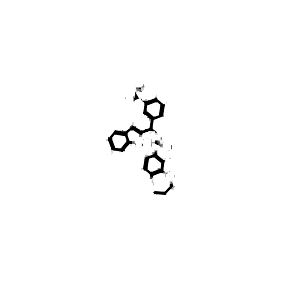 O=[N+]([O-])c1cccc(C(NS(=O)(=O)c2ccc3c(c2)OCCCO3)c2cc3ccccc3o2)c1